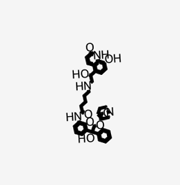 O=C(CCCCNCC(O)c1ccc(O)c2[nH]c(=O)ccc12)Nc1cccc(C(O)(C(=O)OC2CN3CCC2CC3)c2ccccc2)c1